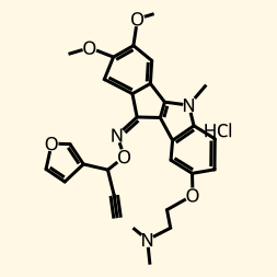 C#CC(ON=C1c2cc(OC)c(OC)cc2-c2c1c1cc(OCCN(C)C)ccc1n2C)c1ccoc1.Cl